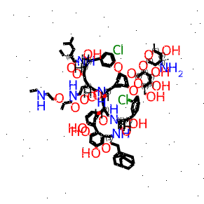 CCNCCOC(C)C(=O)NC(=O)C[C@@H]1CC(=O)[C@H](NC(=O)[C@H](CC)CC(C)C)[C@H](O)c2ccc(c(Cl)c2)Oc2cc3cc(c2O[C@@H]2O[C@H](CO)[C@@H](O)[C@H](O)[C@H]2O[C@H]2C[C@](C)(N)[C@H](O)[C@H](C)O2)Oc2ccc(cc2Cl)[C@@H](O)[C@@H]2NC(=O)[C@H](CC(=O)[C@@H]3NC1=O)c1ccc(O)c(c1)-c1c(O)cc(O)cc1[C@@H](C(=O)CC1C3CC4CC(C3)CC1C4)NC2=O